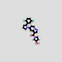 O=C(c1cnn2ccc(N3CCCC3c3cc(F)ccc3F)cc12)N1CCC(O)C1